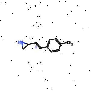 Cc1ccc(/C=C/C2CN2)cc1